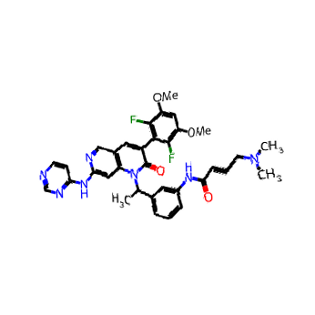 COc1cc(OC)c(F)c(-c2cc3cnc(Nc4ccncn4)cc3n(C(C)c3cccc(NC(=O)/C=C/CN(C)C)c3)c2=O)c1F